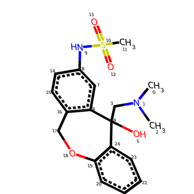 CN(C)CC1(O)c2cc(NS(C)(=O)=O)ccc2COc2ccccc21